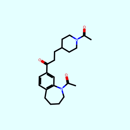 CC(=O)N1CCC(CCC(=O)c2ccc3c(c2)N(C(C)=O)CCCC3)CC1